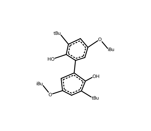 CCC(C)Oc1cc(-c2cc(OC(C)CC)cc(C(C)(C)C)c2O)c(O)c(C(C)(C)C)c1